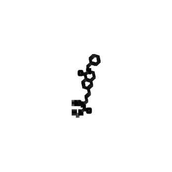 NC(=O)N(O)CC=Cc1ccc2c(c1)CCN(Cc1ccccc1)C2=O